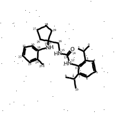 CC(C)c1cccc(C(C)C)c1NC(=O)NCC1(Nc2ccccc2I)CCCC1